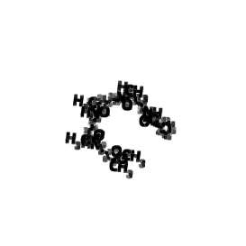 COC(=O)[C@@H](C)CCCCNC(=O)[C@@H](C)CCCCNC(=O)[C@@H](C)CCCCNC(=O)[C@@H](C)CCCCNC(=O)OCc1ccccc1